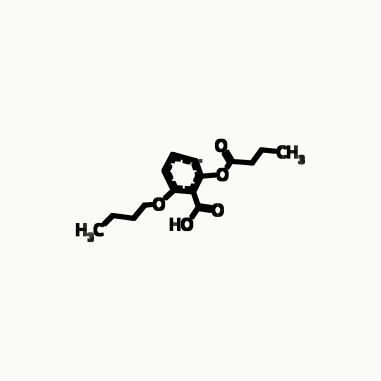 CCCCOc1cc[c]c(OC(=O)CCC)c1C(=O)O